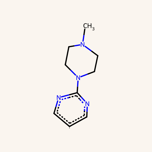 CN1CCN(c2nc[c]cn2)CC1